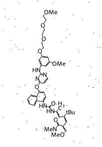 CNC(=O)C(=C\OC)/C=C(\C=C(/C)NC(=O)Nc1ccc(Oc2ccnc(Nc3cc(OC)cc(OCCOCCOCCOC)c3)n2)c2ccccc12)C(C)(C)C